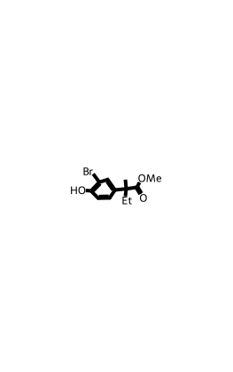 CCC(C)(C(=O)OC)c1ccc(O)c(Br)c1